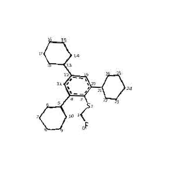 FCSc1c(C2CCCCC2)cc(C2CCCCC2)cc1C1CCCCC1